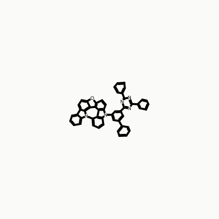 c1ccc(-c2cc(-c3nc(-c4ccccc4)nc(-c4ccccc4)n3)cc(-n3c4ccc5oc6ccc7c8ccccc8n8c9cccc3c9c4c5c6c78)c2)cc1